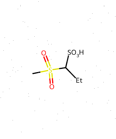 CCC(S(C)(=O)=O)S(=O)(=O)O